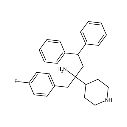 NC(Cc1ccc(F)cc1)(CC(c1ccccc1)c1ccccc1)C1CCNCC1